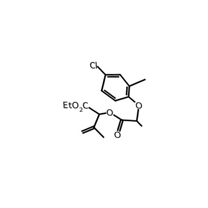 C=C(C)C(OC(=O)C(C)Oc1ccc(Cl)cc1C)C(=O)OCC